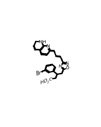 O=C(O)CC(Cc1nc(CCCc2ccc3c(n2)NCCC3)no1)c1cccc(Br)c1